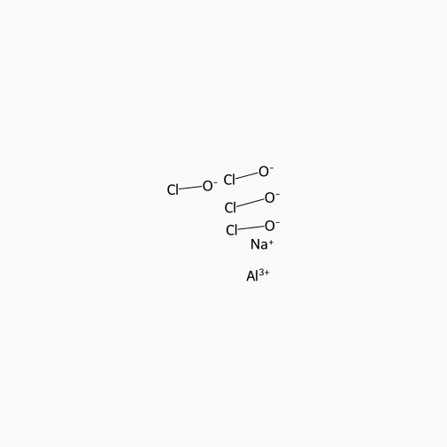 [Al+3].[Na+].[O-]Cl.[O-]Cl.[O-]Cl.[O-]Cl